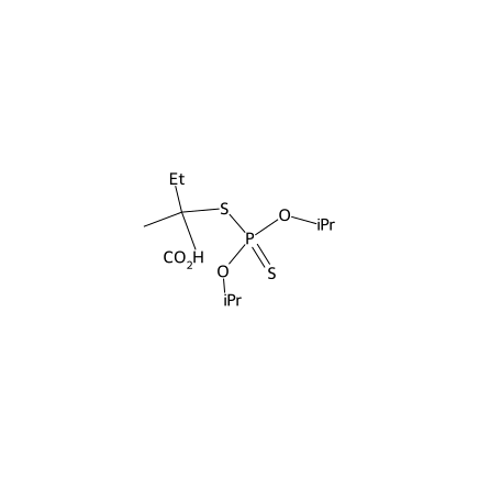 CCC(C)(SP(=S)(OC(C)C)OC(C)C)C(=O)O